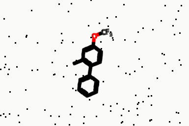 Cc1cc(OC(F)(F)F)ccc1-c1ccccc1